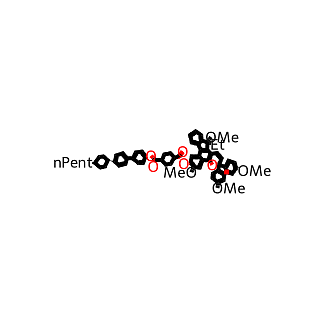 CCCCC[C@H]1CC[C@H](c2ccc(-c3ccc(OC(=O)C4CCC(C(=O)Oc5cc6c7c(c8c(c6cc5OC)OC(c5ccc(OC)cc5)(c5ccc(OC)cc5)C=C8)C(CC)(OC)c5ccccc5-7)CC4)cc3)cc2)CC1